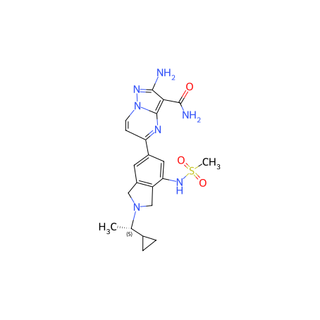 C[C@@H](C1CC1)N1Cc2cc(-c3ccn4nc(N)c(C(N)=O)c4n3)cc(NS(C)(=O)=O)c2C1